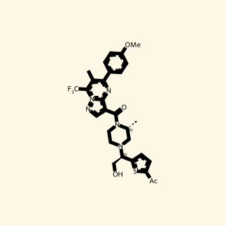 COc1ccc(-c2nc3c(C(=O)N4CCN([C@H](CO)c5ccc(C(C)=O)s5)C[C@H]4C)cnn3c(C(F)(F)F)c2C)cc1